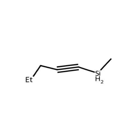 CCCC#C[SiH2]C